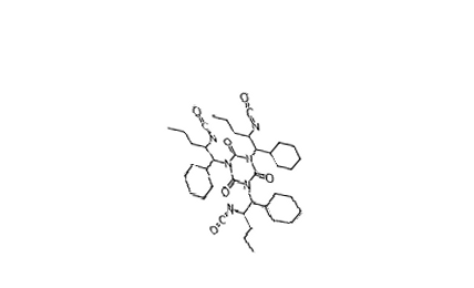 CCCC(N=C=O)C(C1CCCCC1)n1c(=O)n(C(C2CCCCC2)C(CCC)N=C=O)c(=O)n(C(C2CCCCC2)C(CCC)N=C=O)c1=O